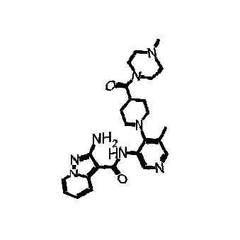 Cc1cncc(NC(=O)c2c(N)nn3ccccc23)c1N1CCC(C(=O)N2CCN(C)CC2)CC1